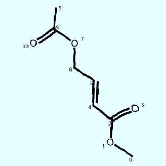 COC(=O)C=CCOC(C)=O